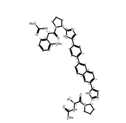 COC(=O)N[C@H](C(=O)N1CCC[C@H]1c1ncc(-c2ccc(-c3ccc4cc(-c5cnc([C@@H]6CCCN6C(=O)[C@@H](NC(=O)OC)C(C)C)[nH]5)ccc4c3)cc2)[nH]1)c1ccccc1OC